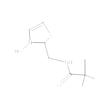 C[C@@H](NC(=O)C(C)(C)C)C1SC=CN1O